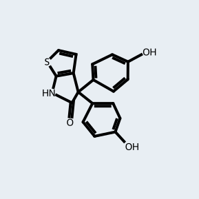 O=C1Nc2sccc2C1(c1ccc(O)cc1)c1ccc(O)cc1